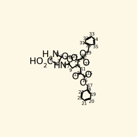 NC(=O)[C@@H](CC(=O)O)NC(=O)CC(CC(=O)C(=O)OCc1ccccc1)C(=O)C(=O)OCc1ccccc1